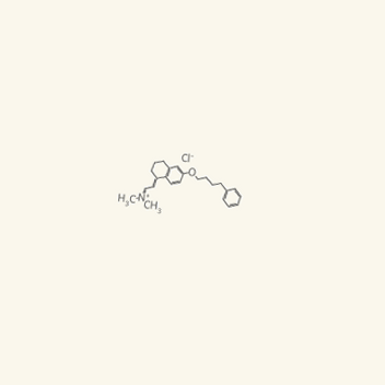 C[N+](C)=CC=C1CCCc2cc(OCCCCc3ccccc3)ccc21.[Cl-]